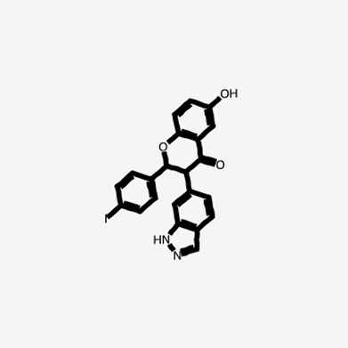 O=C1c2cc(O)ccc2OC(c2ccc(I)cc2)C1c1ccc2cn[nH]c2c1